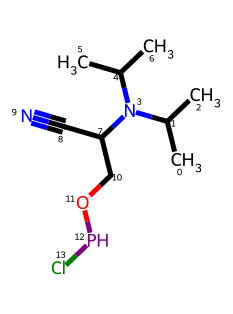 CC(C)N(C(C)C)C(C#N)COPCl